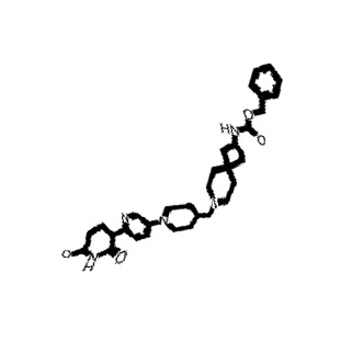 O=C1CCC(c2ccc(N3CCC(CN4CCC5(CC4)CC(NC(=O)OCc4ccccc4)C5)CC3)cn2)C(=O)N1